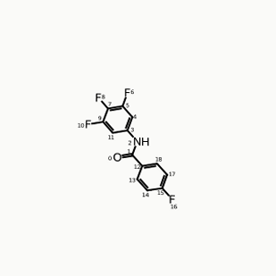 O=C(Nc1cc(F)c(F)c(F)c1)c1c[c]c(F)cc1